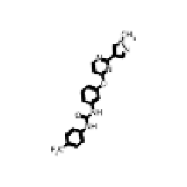 Cn1cc(-c2nccc(Oc3cccc(NC(=O)Nc4ccc(C(F)(F)F)cc4)c3)n2)cn1